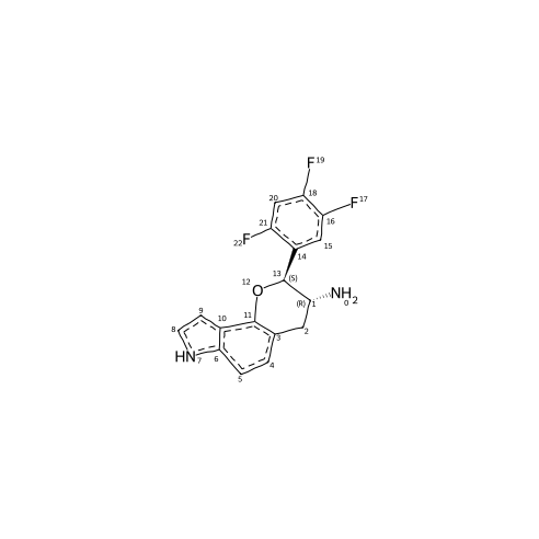 N[C@@H]1Cc2ccc3[nH]ccc3c2O[C@H]1c1cc(F)c(F)cc1F